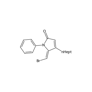 CCCCCCCC1=CC(=O)N(c2ccccc2)/C1=C\Br